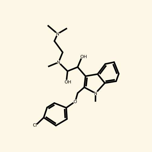 CN(C)CCN(C)C(O)C(O)c1c(COc2ccc(Cl)cc2)n(C)c2ccccc12